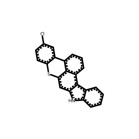 Clc1ccc2c(c1)-c1cccc3c1c(cc1[nH]c4ccccc4c13)S2